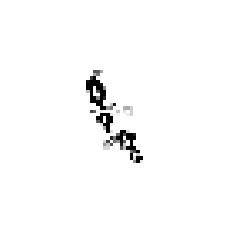 Cc1cc(NC2CCC(NC(=O)c3ccc(Cl)cc3)CC2)nc2ccccc12.Cl